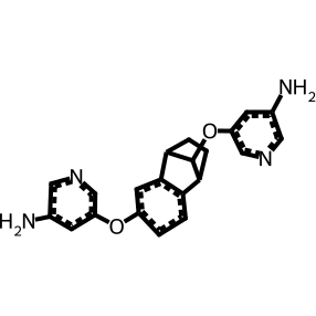 Nc1cncc(Oc2ccc3c(c2)C2CCC3C2Oc2cncc(N)c2)c1